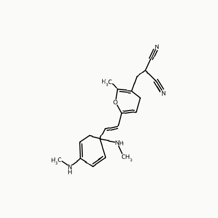 CNC1=CCC(C=CC2=CCC(CC(C#N)C#N)=C(C)O2)(NC)C=C1